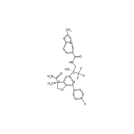 Cc1cc2ccc(C(=O)NC[C@](O)(c3cc4c(c(-c5ccc(F)cc5)n3)OC[C@]4(C)C(N)=O)C(F)(F)F)cn2c1